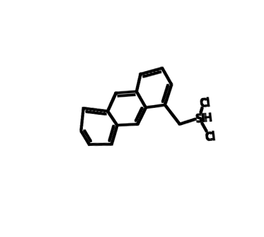 Cl[SiH](Cl)Cc1cccc2cc3ccccc3cc12